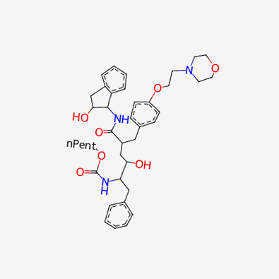 CCCCCOC(=O)NC(Cc1ccccc1)C(O)CC(Cc1ccc(OCCN2CCOCC2)cc1)C(=O)NC1c2ccccc2CC1O